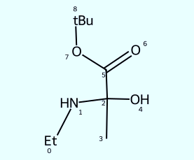 CCNC(C)(O)C(=O)OC(C)(C)C